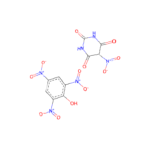 O=C1NC(=O)C([N+](=O)[O-])C(=O)N1.O=[N+]([O-])c1cc([N+](=O)[O-])c(O)c([N+](=O)[O-])c1